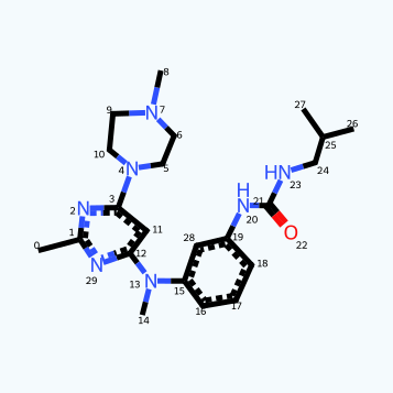 Cc1nc(N2CCN(C)CC2)cc(N(C)c2cccc(NC(=O)NCC(C)C)c2)n1